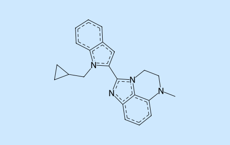 CN1CCn2c(-c3cc4ccccc4n3CC3CC3)nc3cccc1c32